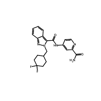 NC(=O)c1cc(NC(=O)c2c3ccccc3nn2CC2CCC(F)(F)CC2)ccn1